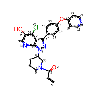 C=CC(=O)N1CCCC(n2nc(-c3ccc(Oc4ccncc4)cc3)c3c(Cl)c(O)cnc32)C1